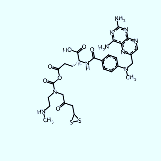 CNCCN(CC(=O)CC1SS1)C(=O)OC(=O)CC[C@@H](NC(=O)c1ccc(N(C)Cc2cnc3nc(N)nc(N)c3n2)cc1)C(=O)O